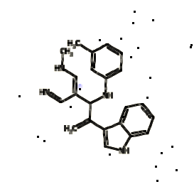 C=C(c1c[nH]c2ccccc12)C(Nc1cccc(C)c1)/C(C=N)=C/NC